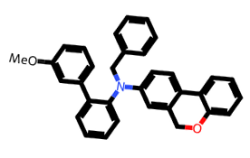 COc1cccc(-c2ccccc2N(Cc2ccccc2)c2ccc3c(c2)COc2ccccc2-3)c1